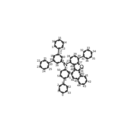 c1ccc(-c2ccc(N(c3cc(-c4ccccc4)cc(-c4ccccc4)c3)c3ccc(-c4ccccc4)c4oc5c6ccccc6ccc5c34)cc2)cc1